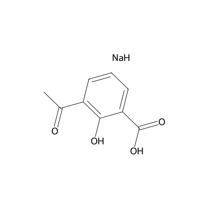 CC(=O)c1cccc(C(=O)O)c1O.[NaH]